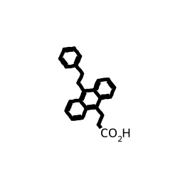 O=C(O)CCc1c2ccccc2c(CCc2ccccc2)c2ccccc12